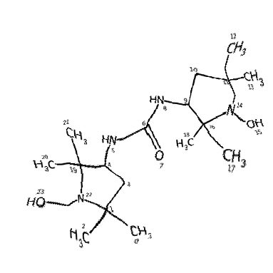 CC1(C)CC(NC(=O)NC2CC(C)(C)N(O)C2(C)C)C(C)(C)N1O